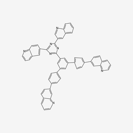 c1cnc2ccc(-c3nc(-c4cc(-c5ccc(-c6ccc7cccnc7c6)cc5)cc(-c5ccc(-c6ccc7cccnc7c6)cc5)c4)nc(-c4cnc5ccccc5c4)n3)cc2c1